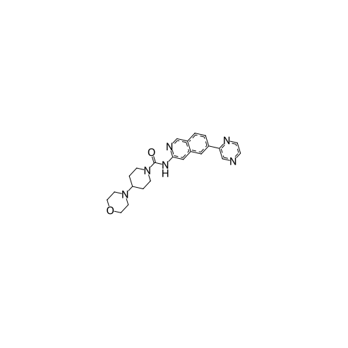 O=C(Nc1cc2cc(-c3cnccn3)ccc2cn1)N1CCC(N2CCOCC2)CC1